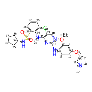 CCOc1cc(O[C@@H]2CCN(C)C2)ccc1Nc1ncc(Cl)c(N(C)c2ccccc2S(=O)(=O)NC2CCCC2)n1